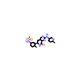 Cc1ccc(Nc2ncc3cc(-c4cc(NS(C)(=O)=O)ccc4C)n(C)c(=O)c3n2)cn1